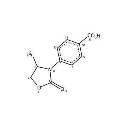 CC(C)C1COC(=O)N1c1ccc(C(=O)O)cc1